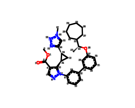 COC(=O)c1cnn(-c2cccc(-c3cccc(O[C@H](C)C4CCCCCC4)c3)c2)c1[C@@H]1C[C@H]1c1cn(C)nn1